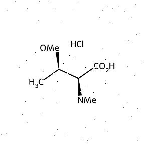 CN[C@H](C(=O)O)[C@@H](C)OC.Cl